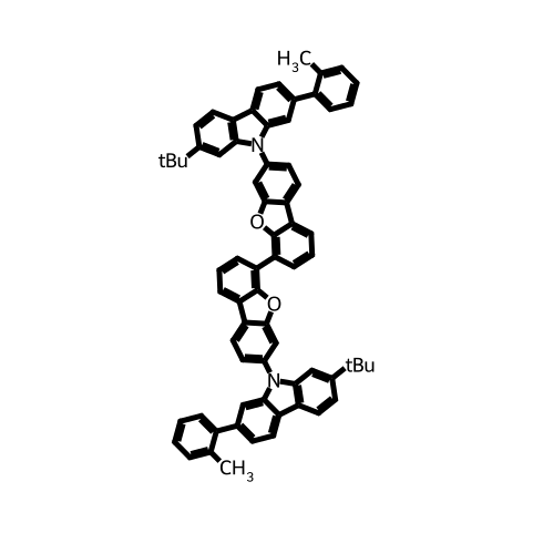 Cc1ccccc1-c1ccc2c3ccc(C(C)(C)C)cc3n(-c3ccc4c(c3)oc3c(-c5cccc6c5oc5cc(-n7c8cc(-c9ccccc9C)ccc8c8ccc(C(C)(C)C)cc87)ccc56)cccc34)c2c1